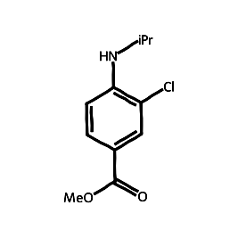 COC(=O)c1ccc(NC(C)C)c(Cl)c1